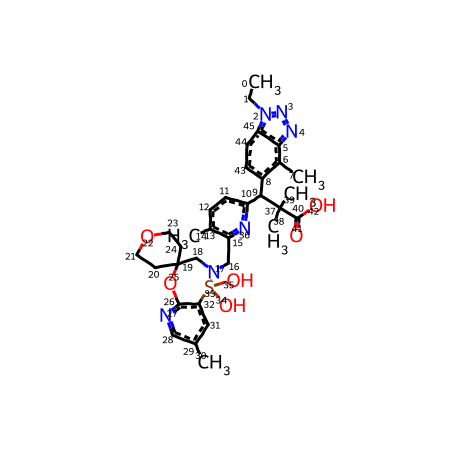 CCn1nnc2c(C)c(C(c3ccc(C)c(CN4CC5(CCOCC5)Oc5ncc(C)cc5S4(O)O)n3)C(C)(C)C(=O)O)ccc21